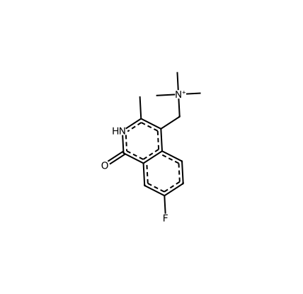 Cc1[nH]c(=O)c2cc(F)ccc2c1C[N+](C)(C)C